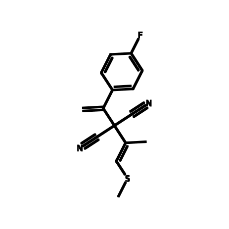 C=C(c1ccc(F)cc1)C(C#N)(C#N)/C(C)=C/SC